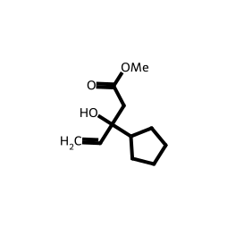 C=CC(O)(CC(=O)OC)C1CCCC1